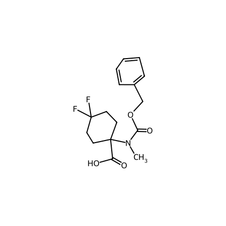 CN(C(=O)OCc1ccccc1)C1(C(=O)O)CCC(F)(F)CC1